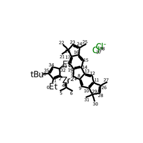 CCC1=[C]([Zr+2](=[C](C)C)[CH]2c3cc4c(cc3-c3cc5c(cc32)C(C)(C)C=C5C)C(C)=CC4(C)C)C(CC)C=C1C(C)(C)C.[Cl-].[Cl-]